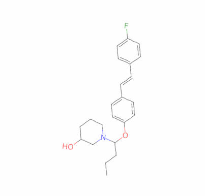 CCCC(Oc1ccc(/C=C/c2ccc(F)cc2)cc1)N1CCCC(O)C1